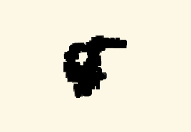 C=C[C@@H]1C[C@]1(NC(=O)[C@@H]1C[C@@H]2CN1C(=O)[C@H](C1CCCCC1)NC(=O)N1CC(C1)OC/C=C/c1cc3ccc(OC)cc3nc1O2)C(=O)NS(=O)(=O)C1CC1